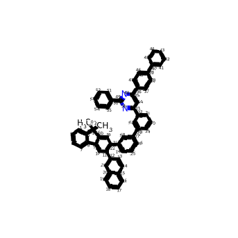 CC1(C)c2ccccc2-c2cc(-c3ccc4ccccc4c3)c(-c3cccc(-c4cccc(-c5cc(-c6ccc(-c7ccccc7)cc6)nc(-c6ccccc6)n5)c4)c3)cc21